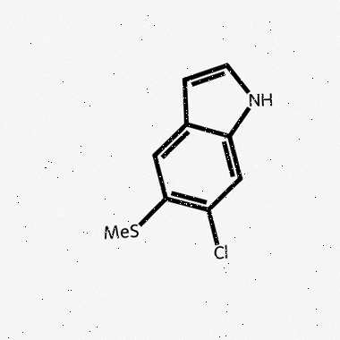 CSc1cc2cc[nH]c2cc1Cl